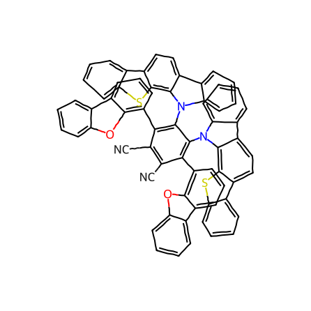 N#Cc1c(C#N)c(-c2cccc3c2oc2ccccc23)c(-n2c3ccccc3c3ccc4c5ccccc5sc4c32)c(-n2c3ccccc3c3ccc4c5ccccc5sc4c32)c1-c1cccc2c1oc1ccccc12